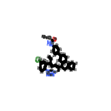 C=C/C(=C\C=C(/C)C(Cc1ccccc1)c1cccc(-c2ccc(NC(=O)OC)cc2)c1)c1cc(Cl)ccc1-n1cnnn1